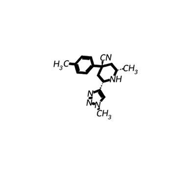 Cc1ccc([C@@]2(C#N)C[C@@H](c3cn(C)nn3)N[C@@H](C)C2)cc1